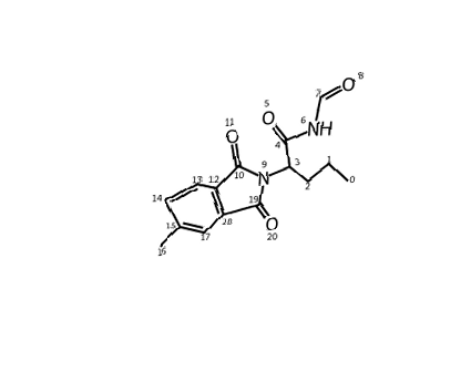 CCCC(C(=O)NC=O)N1C(=O)c2ccc(C)cc2C1=O